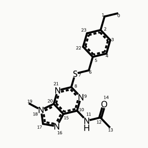 CCc1ccc(CSc2nc(NC(C)=O)c3ncn(C)c3n2)cc1